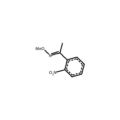 CON=C(C)c1ccccc1[N+](=O)[O-]